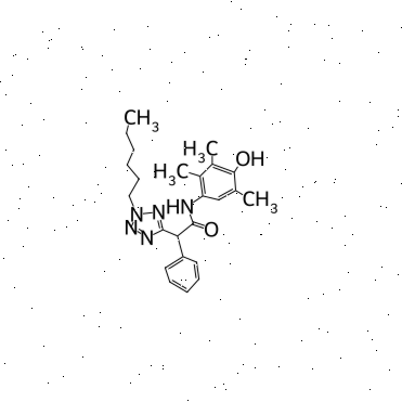 CCCCCCn1nnc(C(C(=O)Nc2cc(C)c(O)c(C)c2C)c2ccccc2)n1